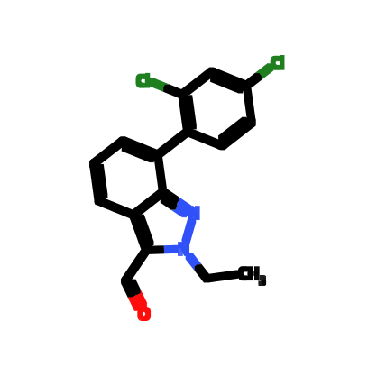 CCn1nc2c(-c3ccc(Cl)cc3Cl)cccc2c1C=O